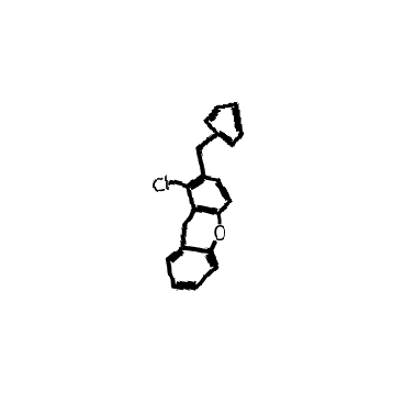 Clc1c(Cc2ccccc2)ccc2c1Cc1ccccc1O2